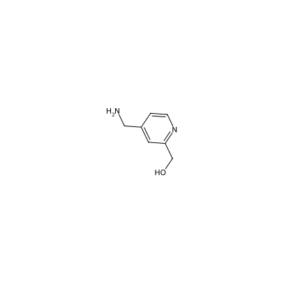 NCc1ccnc(CO)c1